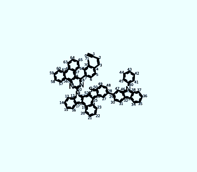 C#C/C=C\c1ccc(-c2nc(-n3c4ccccc4c4c5ccccc5c5c6cc(-c7ccc8c9ccccc9n(-c9ccccc9)c8c7)ccc6sc5c43)nc3c4ccccc4c4ccccc4c23)cc1C